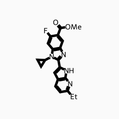 CCc1ccc2cc(-c3nc4cc(C(=O)OC)c(F)cc4n3C3CC3)[nH]c2n1